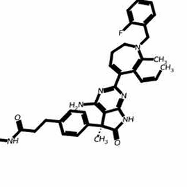 C/C=C\C1=C(C)N(Cc2ccccc2F)CCC=C1c1nc(N)c2c(n1)NC(=O)[C@@]2(C)c1ccc(CCC(=O)NCC(=O)O)cc1